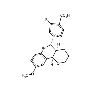 O=C(O)c1ccc([C@H]2Nc3ccc(OC(F)(F)F)cc3[C@@H]3OCCC[C@H]23)cc1F